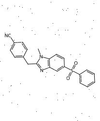 Cn1c(Cc2ccc(C#N)cc2)nc2cc(S(=O)(=O)c3ccccc3)ccc21